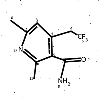 Cc1cc(CC(F)(F)F)c(C(N)=O)c(C)n1